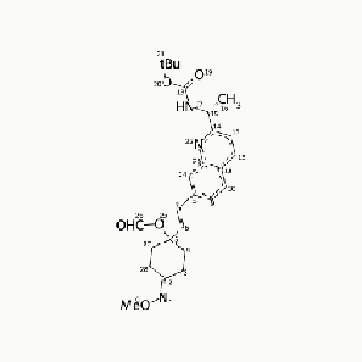 CON=C1CCC(/C=C/c2ccc3ccc([C@@H](C)NC(=O)OC(C)(C)C)nc3c2)(OC=O)CC1